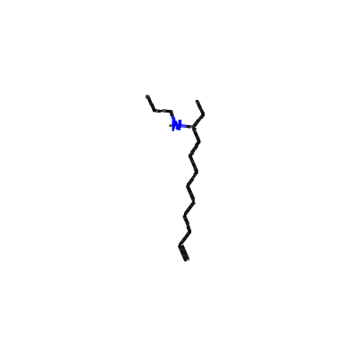 C=CCCCCCCCC(CC)[N]CCC